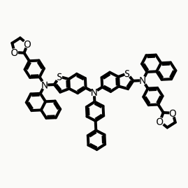 C1=CC2C=CC=C(N(c3ccc(C4OCCO4)cc3)c3cc4cc(N(c5ccc(-c6ccccc6)cc5)c5ccc6sc(N(c7ccc(C8OCCO8)cc7)c7cccc8ccccc78)cc6c5)ccc4s3)C2C=C1